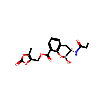 CCC(=O)N[C@H]1Cc2cccc(C(=O)OCc3oc(=O)oc3C)c2OB1O